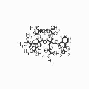 C=C(C)C(=O)OCC(COCC(COC(=O)C(=C)C)(COC(=O)C(=C)C)COC(=O)C1CCCCC1C(=O)OC)(COC(=O)C(=C)C)COC(=O)C(=C)C